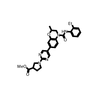 CCc1ccccc1NC(=O)N1CC(C)Oc2cc(-c3cnc(N4CCC(C(=O)OC)C4)nc3)ccc21